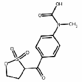 CN(C(=O)O)c1ccc(C(=O)C2CCOS2(=O)=O)cc1